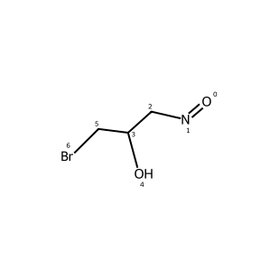 O=NCC(O)CBr